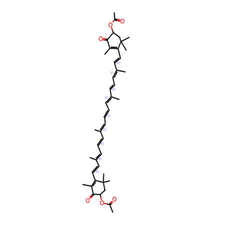 CC(=O)OC1CC(C)(C)C(/C=C/C(C)=C/C=C/C(C)=C/C=C/C=C(C)/C=C/C=C(C)/C=C/C2=C(C)C(=O)C(OC(C)=O)CC2(C)C)=C(C)C1=O